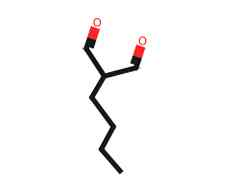 CCCCC([C]=O)[C]=O